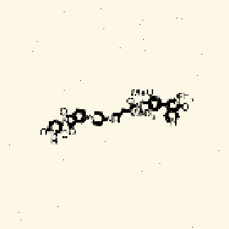 COc1cc(-c2cn(C)c(=O)c3cnccc23)cc(OC)c1CN(C)C(=O)CCCCNC1CCN(c2ccc3c(c2)C(=O)N(C2CCC(=O)NC2=O)C3=O)CC1